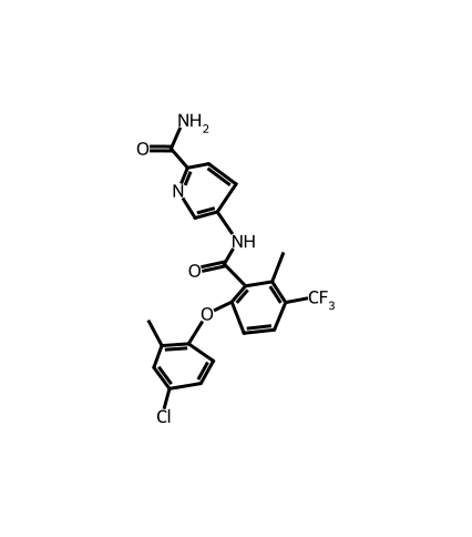 Cc1cc(Cl)ccc1Oc1ccc(C(F)(F)F)c(C)c1C(=O)Nc1ccc(C(N)=O)nc1